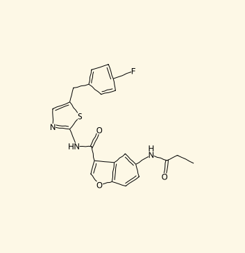 CCC(=O)Nc1ccc2occ(C(=O)Nc3ncc(Cc4ccc(F)cc4)s3)c2c1